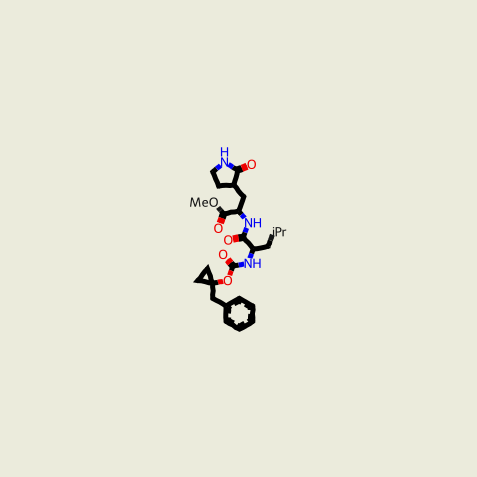 COC(=O)C(CC1CCNC1=O)NC(=O)C(CC(C)C)NC(=O)OC1(Cc2ccccc2)CC1